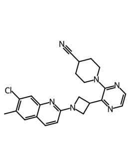 Cc1cc2ccc(N3CC(c4nccnc4N4CCC(C#N)CC4)C3)nc2cc1Cl